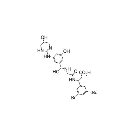 CC(C)(C)c1cc(Br)cc(C(CC(=O)O)NC(=O)CNC(O)c2cc(O)cc(NC3=NCC(O)CN3)c2)c1